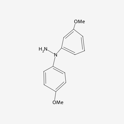 COc1ccc(N(N)c2cccc(OC)c2)cc1